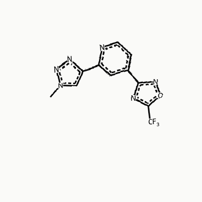 Cn1cc(-c2cc(-c3noc(C(F)(F)F)n3)ccn2)nn1